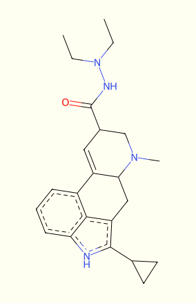 CCN(CC)NC(=O)C1C=C2c3cccc4[nH]c(C5CC5)c(c34)CC2N(C)C1